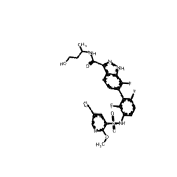 COc1ncc(Cl)cc1S(=O)(=O)Nc1ccc(F)c(-c2ccc3c(C(=O)NC(C)CCO)n[nH]c3c2F)c1F